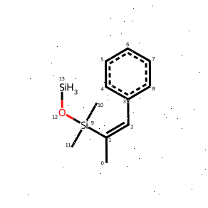 CC(=Cc1ccccc1)[Si](C)(C)O[SiH3]